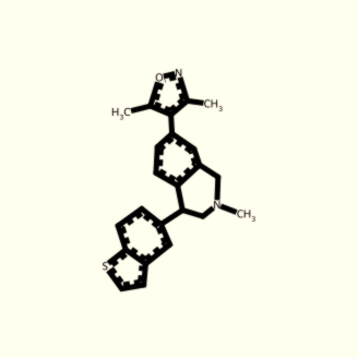 Cc1noc(C)c1-c1ccc2c(c1)CN(C)CC2c1ccc2sccc2c1